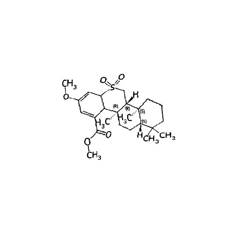 COC(=O)C1=CC(OC)=CC2C1[C@]1(C)CC[C@H]3C(C)(C)CCC[C@]3(C)[C@H]1CS2(=O)=O